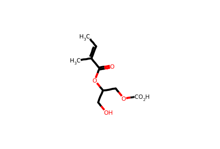 C/C=C(\C)C(=O)OC(CO)COC(=O)O